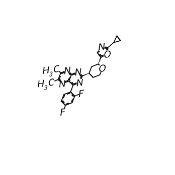 Cc1nc2nc([C@@H]3CCO[C@H](c4cnc(C5CC5)o4)C3)nc(-c3ccc(F)cc3F)c2nc1C